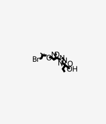 CCC(C(=O)O)n1nnc(-c2cc(OC[C@H](C)CBr)no2)n1